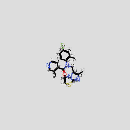 Cc1cnccc1C(=O)N(Cc1c(C)nc2sccn12)c1ccc(F)cc1C